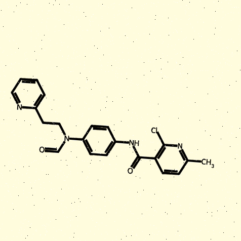 Cc1ccc(C(=O)Nc2ccc(N(C=O)CCc3ccccn3)cc2)c(Cl)n1